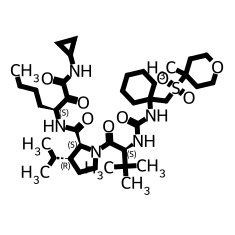 CCCC[C@H](NC(=O)[C@@H]1[C@@H](C(C)C)CCN1C(=O)[C@@H](NC(=O)NC1(CS(=O)(=O)C2(C)CCOCC2)CCCCC1)C(C)(C)C)C(=O)C(=O)NC1CC1